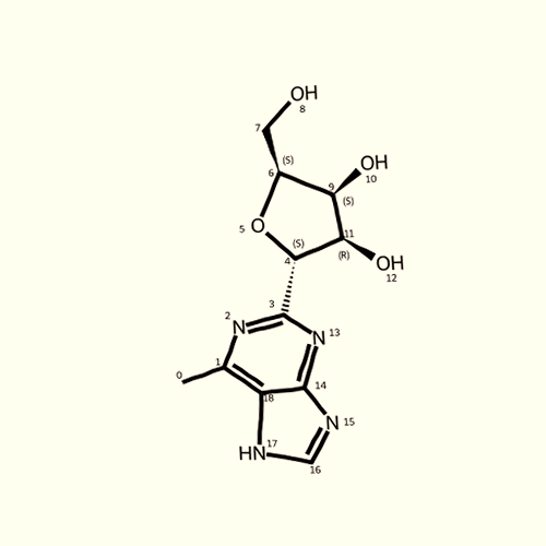 Cc1nc([C@@H]2O[C@@H](CO)[C@@H](O)[C@H]2O)nc2nc[nH]c12